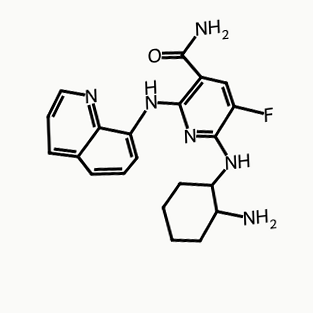 NC(=O)c1cc(F)c(NC2CCCCC2N)nc1Nc1cccc2cccnc12